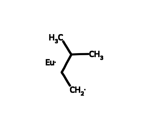 [CH2]CC(C)C.[Eu]